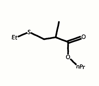 CCCOC(=O)C(C)CSCC